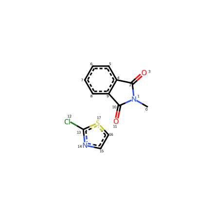 CN1C(=O)c2ccccc2C1=O.Clc1nccs1